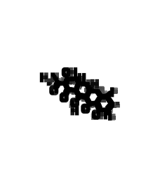 NC(=O)C1=C(O)C[C@@H]2C[C@@H]3Cc4c(I)cc(I)c(O)c4C(=O)C3=C(O)C2C1=O